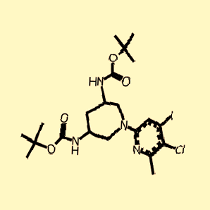 Cc1nc(N2CC(NC(=O)OC(C)(C)C)CC(NC(=O)OC(C)(C)C)C2)cc(I)c1Cl